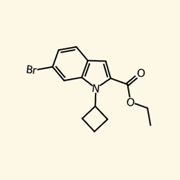 CCOC(=O)c1cc2ccc(Br)cc2n1C1CCC1